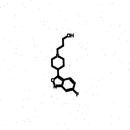 OCCCN1CCC(c2onc3cc(F)ccc23)CC1